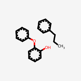 CCCc1ccccc1.Oc1ccccc1Oc1ccccc1